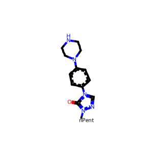 CCCCCn1ncn(-c2ccc(N3CCNCC3)cc2)c1=O